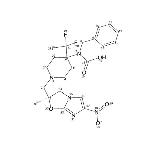 C[C@]1(CN2CCC(N(Cc3ccccc3)C(=O)O)(C(F)(F)F)CC2)Cn2cc([N+](=O)[O-])nc2O1